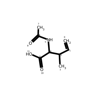 C=CC(C)C(NC(C)=O)C(=O)O